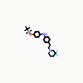 CC(C)(C)[Si](C)(C)Oc1ccc(Nc2ccc(CCN3CCCC(F)(F)C3)cc2)cc1